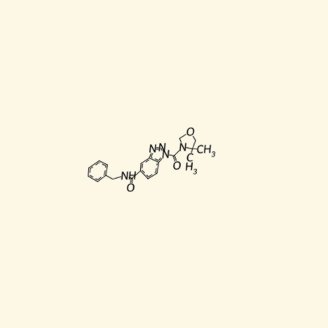 CC1(C)COCN1C(=O)n1nnc2cc(C(=O)NCc3ccccc3)ccc21